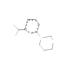 CC(C)c1cccc(N2CCCOC2)n1